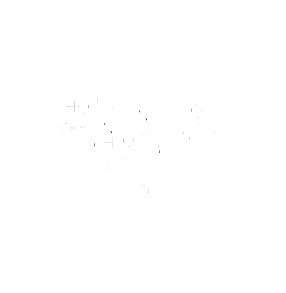 COc1ccc(C[C@H](NC(=O)[C@@H]2CCCN2C(=O)[C@H](C)CSC(=O)C(C)(C)C)C(=O)O)cc1